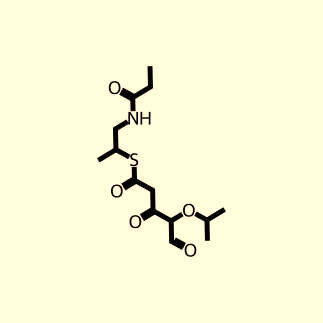 CCC(=O)NCC(C)SC(=O)CC(=O)C(C=O)OC(C)C